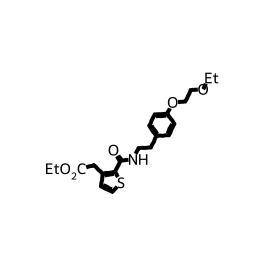 CCOCCOc1ccc(CCNC(=O)c2sccc2CC(=O)OCC)cc1